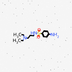 CCN(CC)CCCNS(=O)(=O)c1ccc(N)cc1